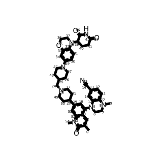 Cc1cc2c(N3CCN(C)c4ccc(C#N)cc43)cc(C3CCN(CC4CCN(c5ccc6c(c5)OCCN6C5CCC(=O)NC5=O)CC4)CC3)cc2n(C)c1=O